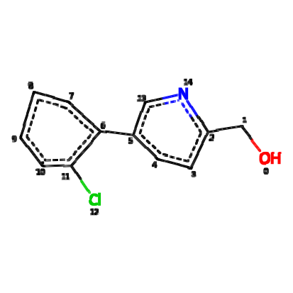 OCc1ccc(-c2ccc[c]c2Cl)cn1